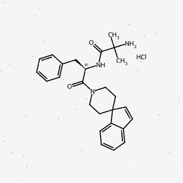 CC(C)(N)C(=O)N[C@H](Cc1ccccc1)C(=O)N1CCC2(C=Cc3ccccc32)CC1.Cl